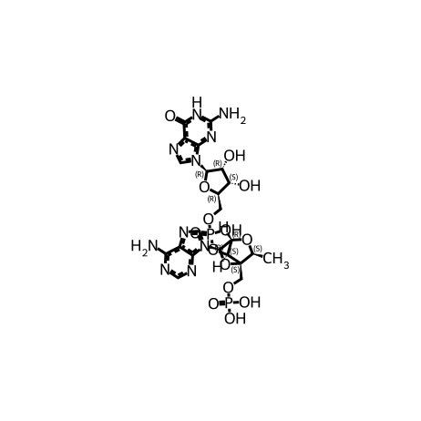 C[C@@H]1O[C@H]2[C@H](n3cnc4c(N)ncnc43)O[C@]1(COP(=O)(O)O)[C@H]2OP(=O)(O)OC[C@H]1O[C@@H](n2cnc3c(=O)[nH]c(N)nc32)[C@H](O)[C@@H]1O